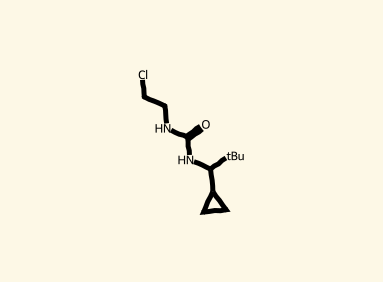 CC(C)(C)C(NC(=O)NCCCl)C1CC1